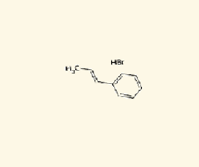 Br.CC=Cc1ccccc1